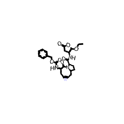 CCOC1OC(=O)CC1NC(=O)C1CCC2C/C=C\CC(NC(=O)OCc3ccccc3)C(=O)N21